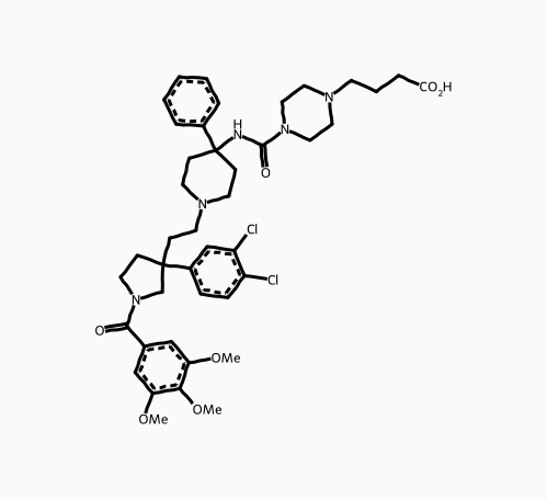 COc1cc(C(=O)N2CCC(CCN3CCC(NC(=O)N4CCN(CCCC(=O)O)CC4)(c4ccccc4)CC3)(c3ccc(Cl)c(Cl)c3)C2)cc(OC)c1OC